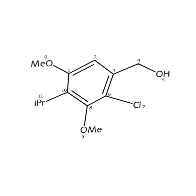 COc1cc(CO)c(Cl)c(OC)c1C(C)C